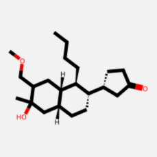 CCCC[C@H]1[C@H]([C@@H]2CCC(=O)C2)CC[C@@H]2CC(C)(O)C(COC)C[C@@H]21